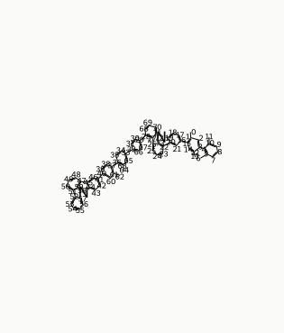 Cc1cc(-c2c(C)cccc2C)c(C)cc1-c1ccc2c(c1)c1cccc3c4c(-c5ccc(-c6ccc(-c7ccc(-c8ccc9c(c8)c8cccc%10c%11ccccc%11n9c%108)cc7C)c(C)c6)cc5)cccc4n2c13